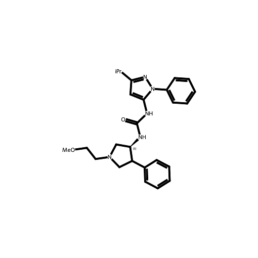 COCCN1CC(c2ccccc2)[C@H](NC(=O)Nc2cc(C(C)C)nn2-c2ccccc2)C1